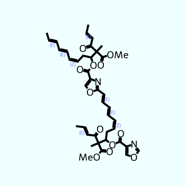 C/C=C/C=C/C=C\CC(OC(=O)c1coc(/C=C/C=C/C=C\CC(OC(=O)c2cocn2)C(C)(C(=O)/C=C/C)C(=O)OC)n1)C(C)(C(=O)/C=C/C)C(=O)OC